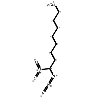 CCCCCCCCCCCCCCCC(N=[N+]=[N-])[SH](=O)=O